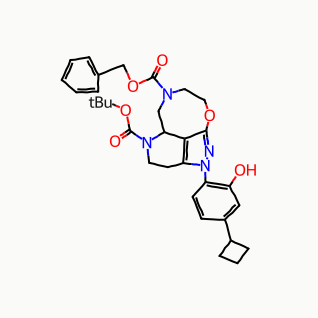 CC(C)(C)OC(=O)N1CCc2c3c(nn2-c2ccc(C4CCC4)cc2O)OCCN(C(=O)OCc2ccccc2)CC31